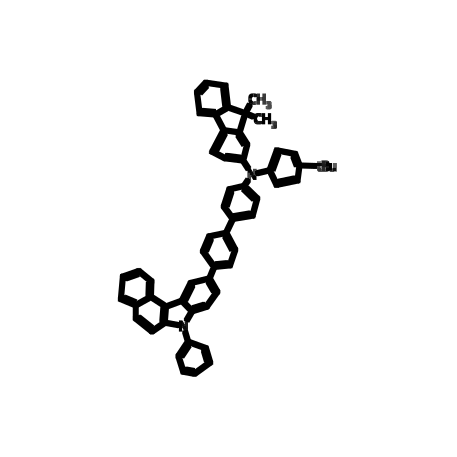 CC(C)(C)c1ccc(N(c2ccc(-c3ccc(-c4ccc5c(c4)c4c6ccccc6ccc4n5-c4ccccc4)cc3)cc2)c2ccc3c(c2)C(C)(C)c2ccccc2-3)cc1